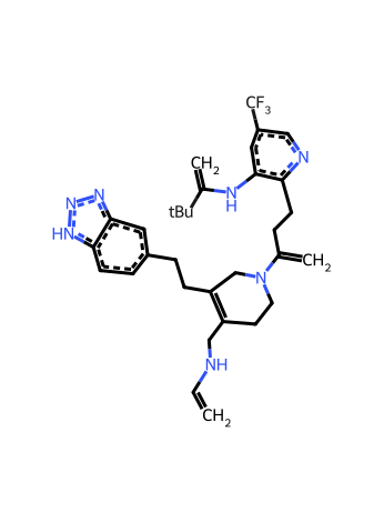 C=CNCC1=C(CCc2ccc3[nH]nnc3c2)CN(C(=C)CCc2ncc(C(F)(F)F)cc2NC(=C)C(C)(C)C)CC1